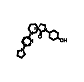 O=C1N(C2CCC(O)CC2)CC[C@]12CCCN(c1ccc(N3CCCC3)cn1)C2